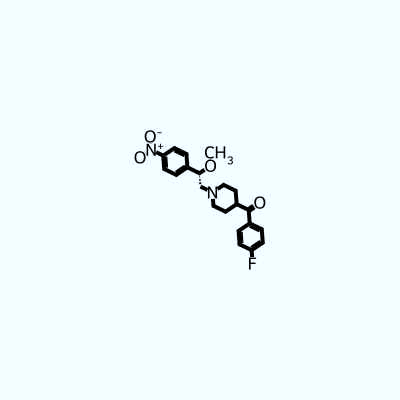 CO[C@H](CN1CCC(C(=O)c2ccc(F)cc2)CC1)c1ccc([N+](=O)[O-])cc1